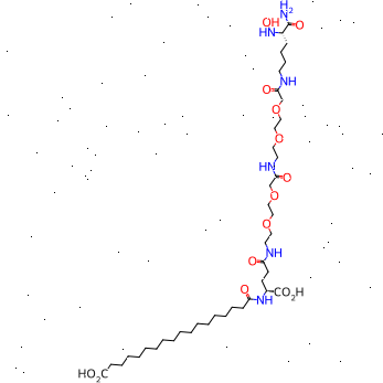 NC(=O)[C@H](CCCCNC(=O)COCCOCCNC(=O)COCCOCCNC(=O)CC[C@H](NC(=O)CCCCCCCCCCCCCCCCC(=O)O)C(=O)O)NO